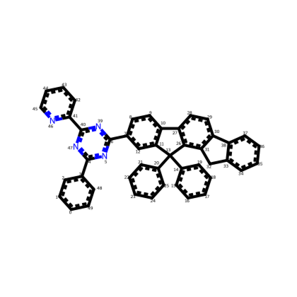 c1ccc(-c2nc(-c3ccc4c(c3)C(c3ccccc3)(c3ccccc3)c3c-4ccc4c3Cc3ccccc3-4)nc(-c3ccccn3)n2)cc1